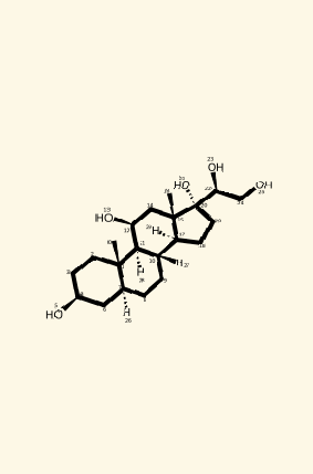 C[C@]12CC[C@H](O)C[C@@H]1CC[C@@H]1[C@@H]2[C@@H](O)C[C@@]2(C)[C@H]1CC[C@]2(O)[C@@H](O)CO